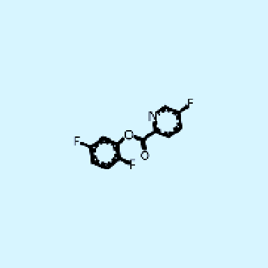 O=C(Oc1cc(F)ccc1F)c1ccc(F)cn1